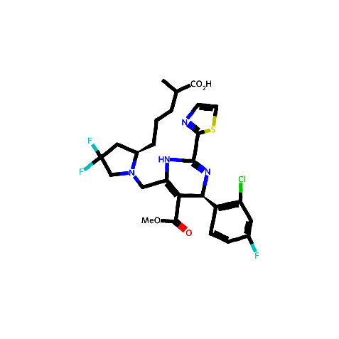 COC(=O)C1=C(CN2CC(F)(F)C[C@H]2CCCC(C)C(=O)O)NC(c2nccs2)=N[C@H]1c1ccc(F)cc1Cl